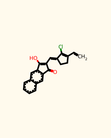 C=CC1=C(Cl)/C(=C/C2=C(O)c3cc4ccccc4cc3C2=O)CC1